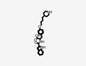 O=C(NC(Cc1ccc(OCCCCC2CCNCC2)cc1)C(=O)O)c1cc2ccccc2[nH]1